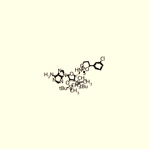 CC(C)(C)[Si](C)(C)O[C@@H]1[C@H](O[Si](C)(C)C(C)(C)C)[C@@H](CNP2(=S)OCCC(c3cccc(Cl)c3)O2)O[C@H]1n1cnc2c(N)ncnc21